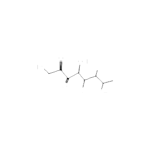 CC(O)C(O)C(O)C(O)C(=O)C(=O)CBr